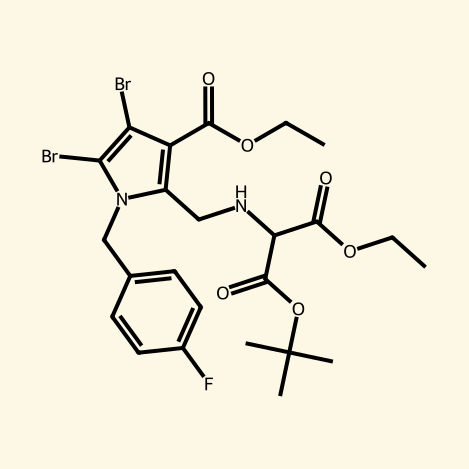 CCOC(=O)c1c(Br)c(Br)n(Cc2ccc(F)cc2)c1CNC(C(=O)OCC)C(=O)OC(C)(C)C